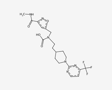 CNC(=O)c1cc(CN(CCC2CCN(c3nccc(C(F)(F)F)n3)CC2)C(=O)O)on1